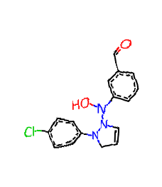 O=Cc1cccc(N(O)N2C=CCN2c2ccc(Cl)cc2)c1